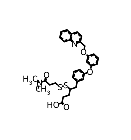 CN(C)C(=O)CCSSC(CCC(=O)O)Cc1cccc(Oc2cccc(OCc3ccc4ccccc4n3)c2)c1